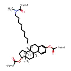 CCCCCC(=O)Oc1ccc2c(c1)C[C@@H](CCCCCCCCCN(C)C(=O)CCCCC)[C@@H]1[C@@H]2CC[C@]2(C)[C@@H](OC(=O)CCCCC)CC[C@@H]12